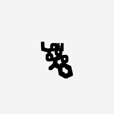 CCC(O)Oc1c(C)c2ccccc2oc1=O